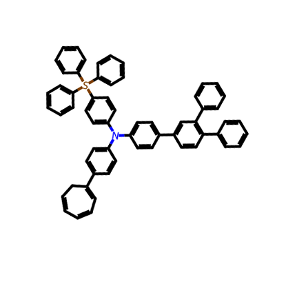 C1=CC=C(c2ccc(N(c3ccc(-c4ccc(-c5ccccc5)c(-c5ccccc5)c4)cc3)c3ccc(S(c4ccccc4)(c4ccccc4)c4ccccc4)cc3)cc2)CC=C1